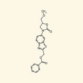 COCC1CN(c2ccc3nc(COC(=O)c4ccccc4)sc3c2)C(=O)O1